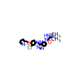 CC(C)[C@H](N)C(=O)Nc1ccc2ncnc(Nc3ccc(OCc4ccccn4)c(Cl)c3)c2c1